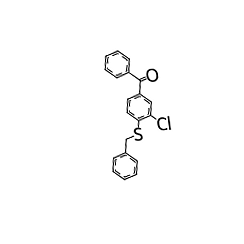 O=C(c1ccccc1)c1ccc(SCc2ccccc2)c(Cl)c1